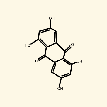 O=C1c2cc(O)cc(O)c2C(=O)c2cc(O)cc(O)c21